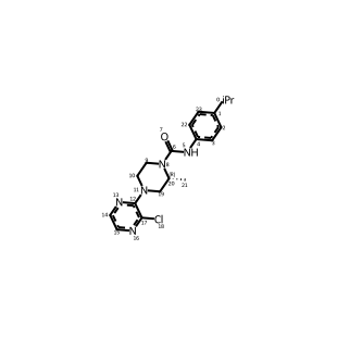 CC(C)c1ccc(NC(=O)N2CCN(c3nccnc3Cl)C[C@H]2C)cc1